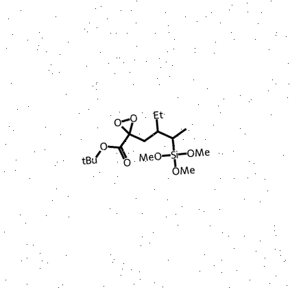 CCC(CC1(C(=O)OC(C)(C)C)OO1)C(C)[Si](OC)(OC)OC